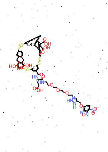 O=C(O)CC[C@H](NC(=O)c1cc2cc(c1)SSc1ccc3c(c1)C1c4ccc(cc4C3C(C(=O)O)C1C(=O)O)SSc1ccc3c(c1)C1c4ccc(cc4C3C(C(=O)O)C1C(=O)O)SS2)C(=O)NCCOCCOCCOCCN1C=C(COc2ccc([N+](=O)[O-])c3nonc23)NN1